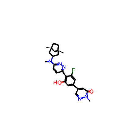 CN(c1ccc(-c2c(O)cc(-c3cnn(C)c(=O)c3)cc2F)nn1)[C@H]1C[C@]2(C)CC[C@](C)(C1)C2